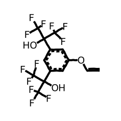 C=COc1cc(C(O)(C(F)(F)F)C(F)(F)F)cc(C(O)(C(F)(F)F)C(F)(F)F)c1